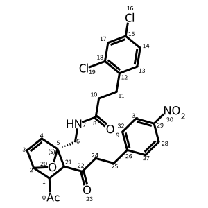 CC(=O)C1C2C=C[C@](CNC(=O)CCc3ccc(Cl)cc3Cl)(O2)C1C(=O)CCc1ccc([N+](=O)[O-])cc1